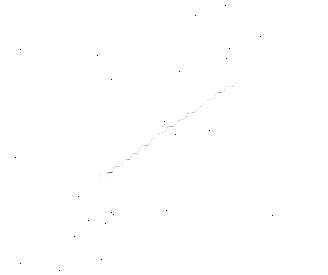 CCCCCCCCCCCCCCCCCCCCCCCCCCCC=C[P]